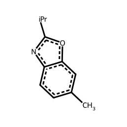 Cc1ccc2nc(C(C)C)oc2c1